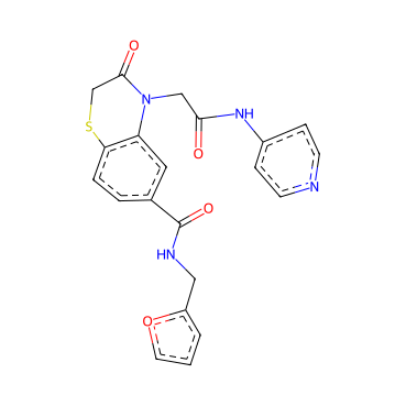 O=C(CN1C(=O)CSc2ccc(C(=O)NCc3ccco3)cc21)Nc1ccncc1